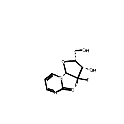 O=c1ncccn1[C@@H]1O[C@H](CO)[C@H](O)C1(F)F